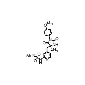 CNS(=O)(=O)Nc1cc(CC2(C)NC(=O)N(c3ccc(OC(F)(F)F)cc3)C2=O)ccn1